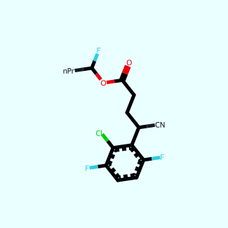 CCCC(F)OC(=O)CCC(C#N)c1c(F)ccc(F)c1Cl